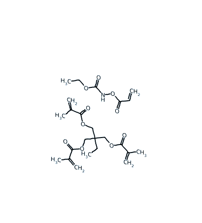 C=C(C)C(=O)OCC(CC)(COC(=O)C(=C)C)COC(=O)C(=C)C.C=CC(=O)ONC(=O)OCC